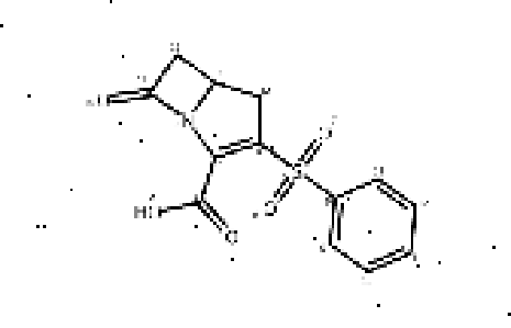 O=C(O)C1=C(S(=O)(=O)c2ccccc2)CC2CC(=O)N12